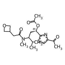 CC(=O)O[C@H](CC(C(C)C)N(C)C(=O)CC1COC1)c1nc(C(C)=O)cs1